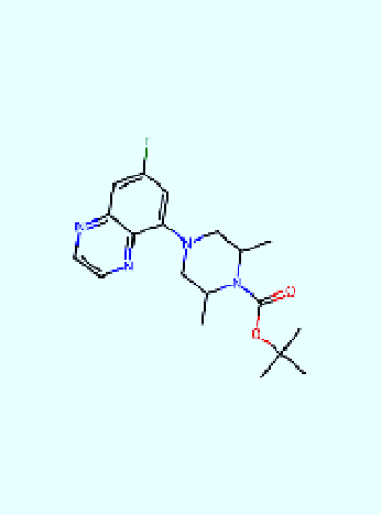 CC1CN(c2cc(F)cc3nccnc23)CC(C)N1C(=O)OC(C)(C)C